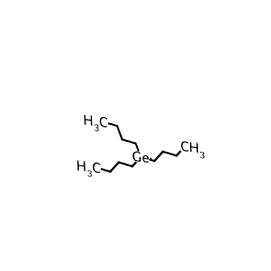 CCC[CH2][Ge]([CH2]CCC)[CH2]CCC